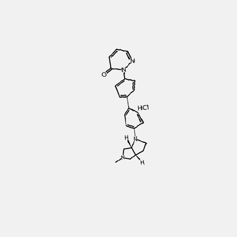 CN1C[C@H]2CCN(c3ccc(-c4ccc(-n5ncccc5=O)cc4)cc3)[C@H]2C1.Cl